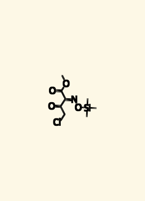 COC(=O)C(=NO[Si](C)(C)C)C(=O)CCl